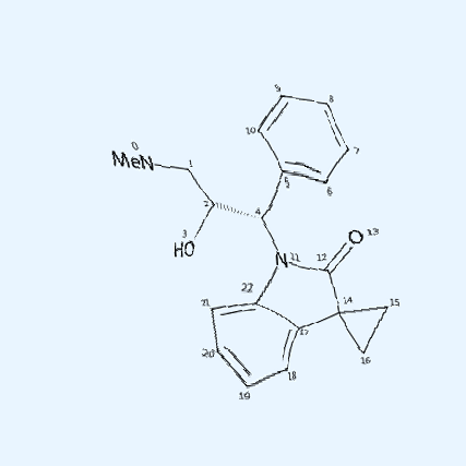 CNCC(O)[C@H](c1ccccc1)N1C(=O)C2(CC2)c2ccccc21